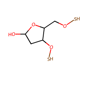 OC1CC(OS)C(COS)O1